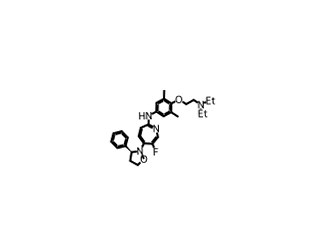 CCN(CC)CCOc1c(C)cc(NC2=NC=C(F)C(N3OCC[C@H]3c3ccccc3)=C=C2)cc1C